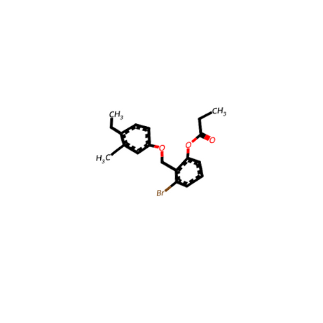 CCC(=O)Oc1cccc(Br)c1COc1ccc(CC)c(C)c1